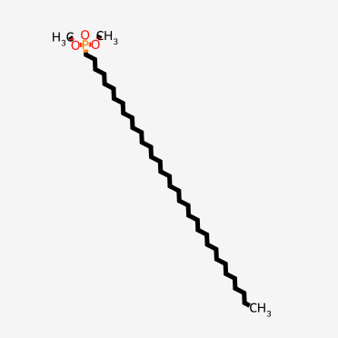 CCCCCCCCCCCCCCCCCCCCCCCCCCCCCCCCCCCCP(=O)(OC)OC